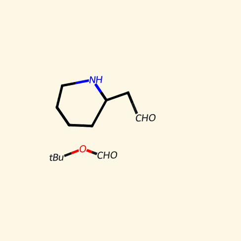 CC(C)(C)OC=O.O=CCC1CCCCN1